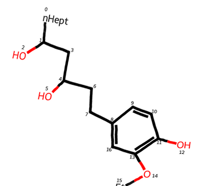 CCCCCCCC(O)CC(O)CCc1ccc(O)c(OCC)c1